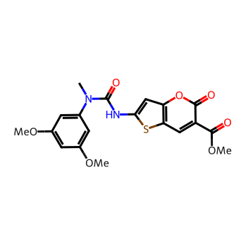 COC(=O)c1cc2sc(NC(=O)N(C)c3cc(OC)cc(OC)c3)cc2oc1=O